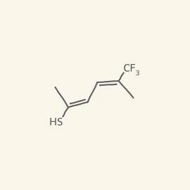 C/C(S)=C\C=C(/C)C(F)(F)F